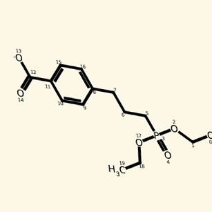 CCOP(=O)(CCCc1ccc(C([O])=O)cc1)OCC